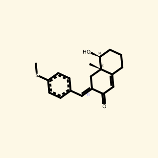 CSc1ccc(/C=C2\C[C@@]3(C)C(=CC2=O)CCC[C@@H]3O)cc1